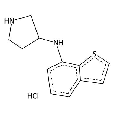 Cl.c1cc(NC2CCNC2)c2sccc2c1